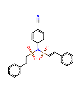 N#CC1=CCC(N(S(=O)(=O)/C=C/c2ccccc2)S(=O)(=O)/C=C/c2ccccc2)C=C1